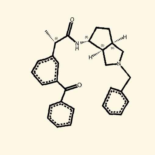 C[C@H](C(=O)N[C@@H]1CC[C@H]2CN(Cc3ccccc3)C[C@H]21)c1cccc(C(=O)c2ccccc2)c1